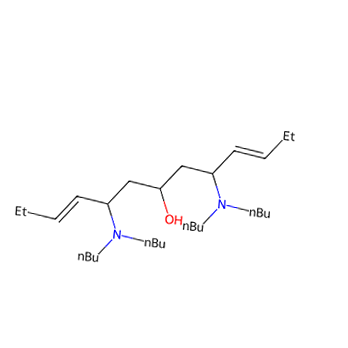 CCC=CC(CC(O)CC(C=CCC)N(CCCC)CCCC)N(CCCC)CCCC